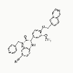 COc1cc(C(Nc2ccc(C#N)cc2)C(=O)NCc2ccccc2)ccc1OCc1ccc2cnccc2c1